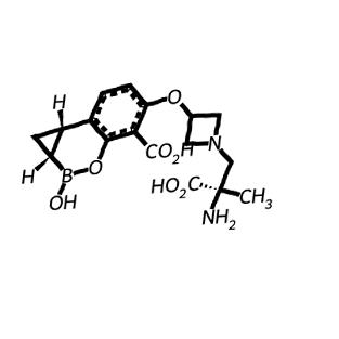 C[C@@](N)(CN1CC(Oc2ccc3c(c2C(=O)O)OB(O)[C@@H]2C[C@H]32)C1)C(=O)O